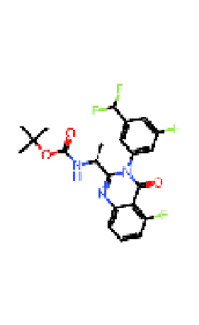 C[C@H](NC(=O)OC(C)(C)C)c1nc2cccc(F)c2c(=O)n1-c1cc(F)cc(C(F)F)c1